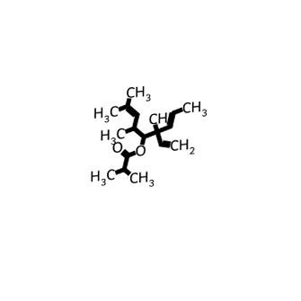 C=CC(C)(C=CC)C(OC(=O)C(C)C)C(C)C=C(C)C